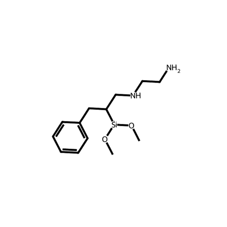 CO[Si](OC)C(CNCCN)Cc1ccccc1